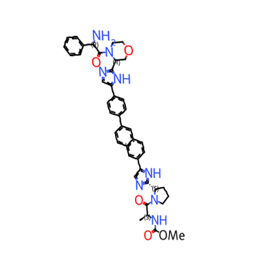 COC(=O)N[C@@H](C)C(=O)N1CCC[C@H]1c1ncc(-c2ccc3cc(-c4ccc(-c5cnc([C@@H]6COCCN6C(=O)[C@H](N)c6ccccc6)[nH]5)cc4)ccc3c2)[nH]1